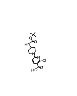 CC(C)(C)OC(=O)NC1CCN(c2ccc(C(=O)O)c(Cl)n2)CC1